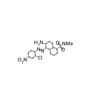 CNS(=O)(=O)c1cccc2c(/N=N/c3ccc([N+](=O)[O-])cc3Cl)c(N)ccc12